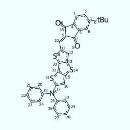 CC(C)(C)c1ccc2c(c1)C(=O)/C(=C\c1cc3sc4cc(N(c5ccccc5)c5ccccc5)sc4c3s1)C2=O